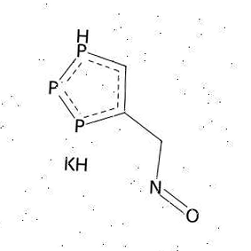 O=NCc1c[pH]pp1.[KH]